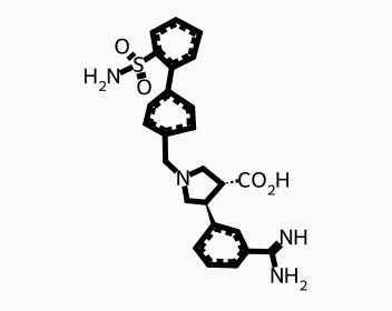 N=C(N)c1cccc([C@H]2CN(Cc3ccc(-c4ccccc4S(N)(=O)=O)cc3)C[C@@H]2C(=O)O)c1